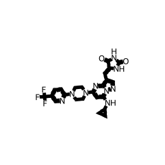 O=C1NC(=O)/C(=C/c2cnn3c(NC4CC4)cc(N4CCN(c5ccc(C(F)(F)F)cn5)CC4)nc23)N1